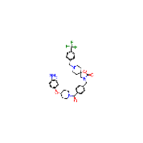 Nc1ccc(OC2CCN(C(=O)c3ccc(CN4CC5(CCN(Cc6ccc(C(F)(F)F)cc6)CC5)OC4=O)cc3)CC2)cc1